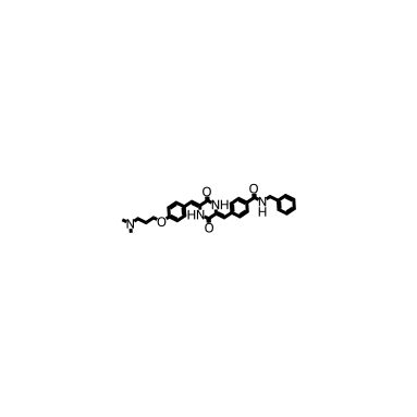 CN(C)CCCOc1ccc(C=c2[nH]c(=O)c(=Cc3ccc(C(=O)NCc4ccccc4)cc3)[nH]c2=O)cc1